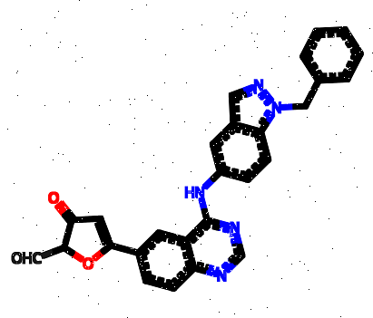 O=CC1OC(c2ccc3ncnc(Nc4ccc5c(cnn5Cc5ccccc5)c4)c3c2)=CC1=O